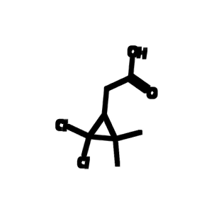 CC1(C)C(CC(=O)O)C1(Cl)Cl